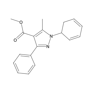 COC(=O)c1c(-c2ccccc2)nn(C2C=CC=CC2)c1C